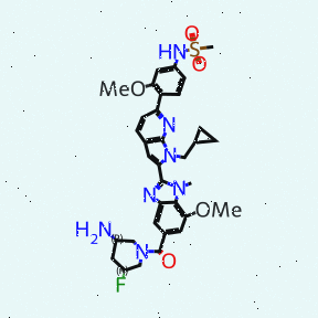 COc1cc(NS(C)(=O)=O)ccc1-c1ccc2cc(-c3nc4cc(C(=O)N5C[C@H](N)C[C@@H](F)C5)cc(OC)c4n3C)n(CC3CC3)c2n1